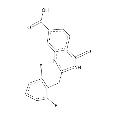 O=C(O)c1ccc2c(=O)[nH]c(Cc3c(F)cccc3F)nc2c1